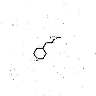 CNCCC1CCSCC1